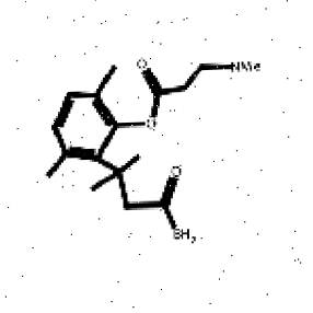 BC(=O)CC(C)(C)c1c(C)ccc(C)c1OC(=O)CCNC